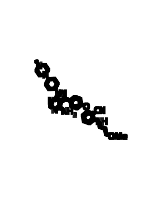 COCCCNc1cccc(Oc2ccc(-c3nn([C@H]4CC[C@H](N5CCN(C)CC5)CC4)c4ncnc(N)c34)cc2)c1C#N